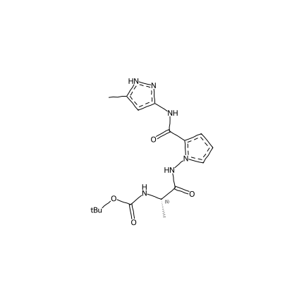 Cc1cc(NC(=O)c2cccn2NC(=O)[C@H](C)NC(=O)OC(C)(C)C)n[nH]1